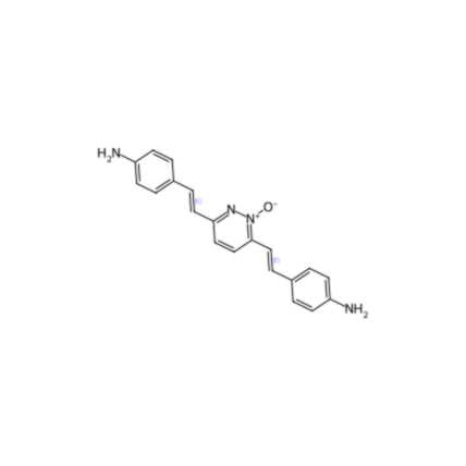 Nc1ccc(/C=C/c2ccc(/C=C/c3ccc(N)cc3)[n+]([O-])n2)cc1